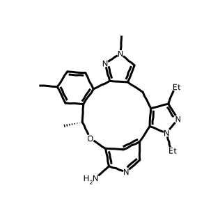 CCc1nn(CC)c2c1Cc1cn(C)nc1-c1ccc(C)cc1[C@@H](C)Oc1cc-2cnc1N